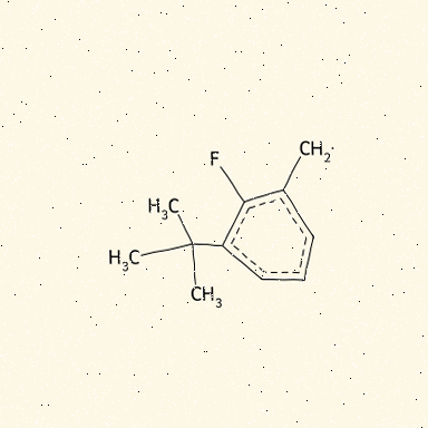 [CH2]c1cccc(C(C)(C)C)c1F